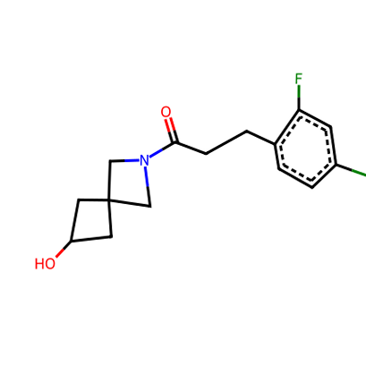 O=C(CCc1ccc(F)cc1F)N1CC2(CC(O)C2)C1